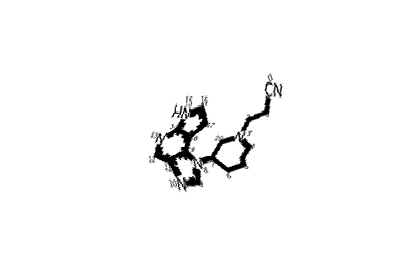 N#CCCN1CCCC(n2cnc3cnc4[nH]ccc4c32)C1